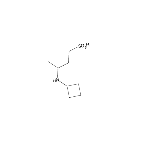 CC(CCS(=O)(=O)O)NC1CCC1